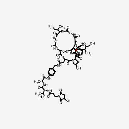 CCC(C)C1NC(=O)CNC(=O)C2Cc3c([nH]c4ccccc34)SCC(NC(=O)CNC1=O)C(=O)NC(CC(=O)NCc1ccc(NC(=O)[C@H](C)NC(=O)[C@@H](NC(=O)CCN3C(=O)CC(S)C3=O)C(C)C)cc1)C(=O)N1CC(O)CC1C(=O)NC(C(C)C(O)CO)C(=O)N2